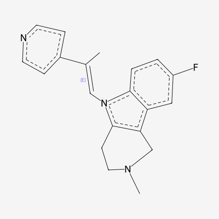 C/C(=C\n1c2c(c3cc(F)ccc31)CN(C)CC2)c1ccncc1